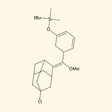 COC(=C1C2CC3CC1CC(Cl)(C3)C2)C1C=CC=C(O[Si](C)(C)C(C)(C)C)C1